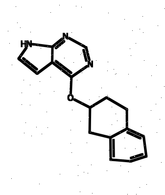 c1ccc2c(c1)CCC(Oc1ncnc3[nH]ccc13)C2